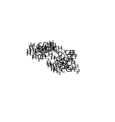 CC(C)[Si](C(C)C)(C(C)C)N(CCCC(C)(CCOCCC(C)(CCCN([Si](C(C)C)(C(C)C)C(C)C)[Si](C(C)C)(C(C)C)C(C)C)[SiH](Cl)Cl)[SiH](Cl)Cl)[Si](C(C)C)(C(C)C)C(C)C